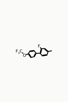 Cc1ccc(-c2ccc(OC(F)(F)F)cc2)c(F)c1